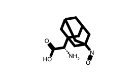 N[C@H](C(=O)O)C12CC3CC(CC(N=O)(C3)C1)C2